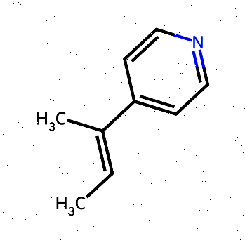 CC=C(C)c1ccncc1